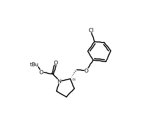 CC(C)(C)OC(=O)N1CCC[C@H]1COc1cccc(Cl)c1